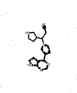 N#CCC(C1CCNC1)n1ccc(-c2ncnc3[nH]ccc23)c1